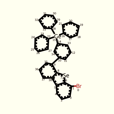 Brc1cccc2c1[se]c1c(-c3ccc[c]([Ge]([c]4ccccc4)([c]4ccccc4)[c]4ccccc4)c3)cccc12